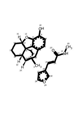 CN1CC[C@]23c4c5ccc(O)c4O[C@H]2CCC[C@H]3[C@H]1C5.CNC(=O)/C=C/c1ccoc1